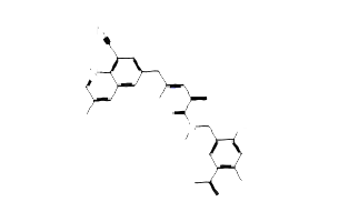 Bc1cc(C)c(C(=C)C)cc1CN(C)C(=O)C(=C)/C=C(\C)Cc1cc(C#N)c2ncc(C)cc2c1